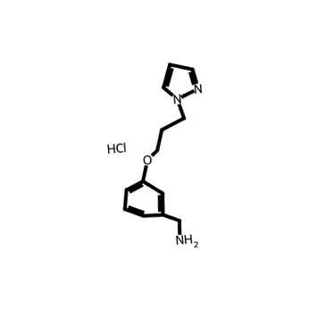 Cl.NCc1cccc(OCCCn2cccn2)c1